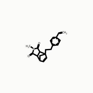 C=Cc1ccc(CCC23C=CC(C2)C2C(=O)N(C)C(=O)C23)cc1